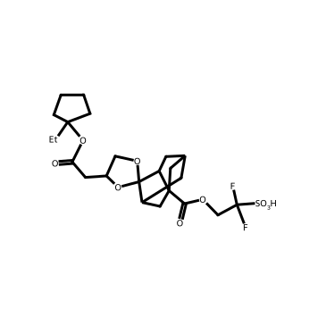 CCC1(OC(=O)CC2COC3(O2)C2CC4CC3C(C(=O)OCC(F)(F)S(=O)(=O)O)(C4)C2)CCCC1